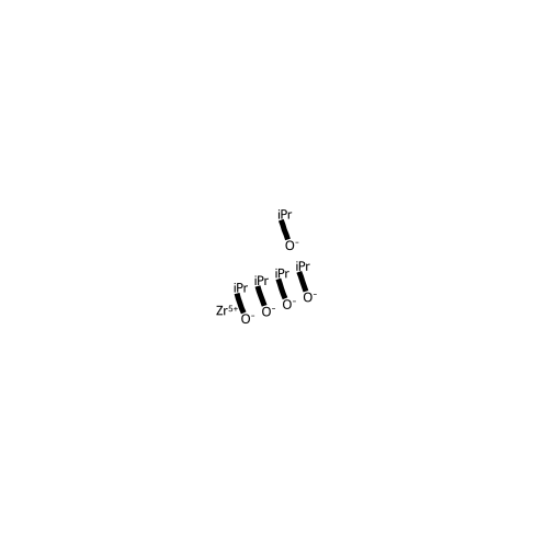 CC(C)[O-].CC(C)[O-].CC(C)[O-].CC(C)[O-].CC(C)[O-].[Zr+5]